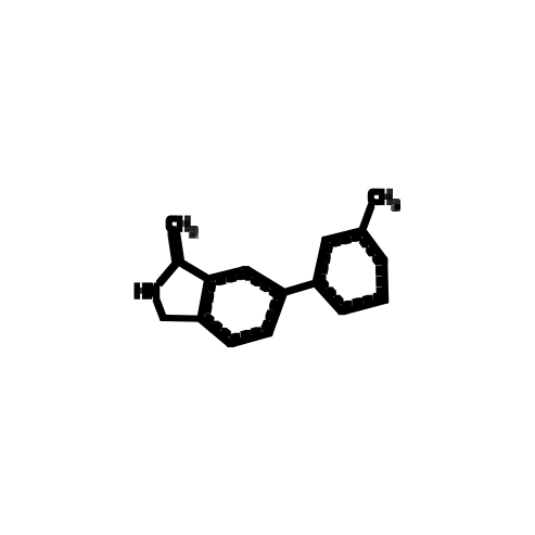 C=C1NCc2ccc(-c3cccc(C)c3)cc21